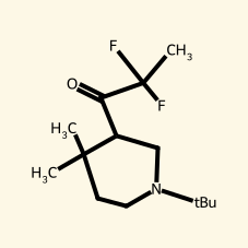 CC(F)(F)C(=O)C1CN(C(C)(C)C)CCC1(C)C